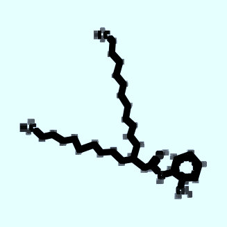 CCCCCCCCCCCCC(CCCCCCCCCC)CC(=O)Oc1ccccc1C